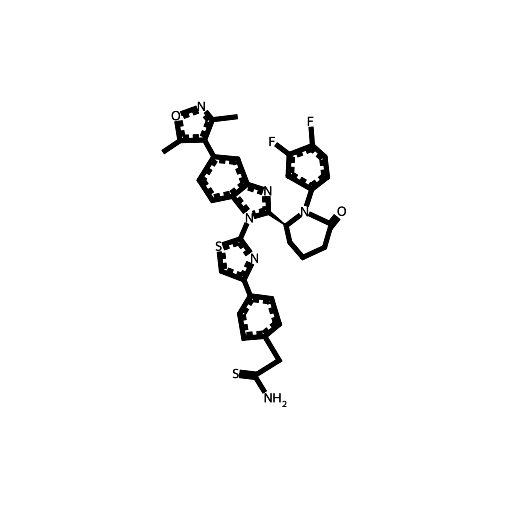 Cc1noc(C)c1-c1ccc2c(c1)nc([C@@H]1CCCC(=O)N1c1ccc(F)c(F)c1)n2-c1nc(-c2ccc(CC(N)=S)cc2)cs1